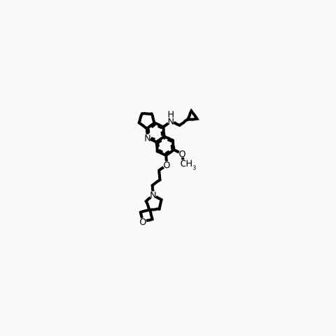 COc1cc2c(NCC3CC3)c3c(nc2cc1OCCCN1CCC2(COC2)C1)CCC3